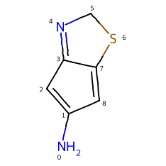 NC1=CC2=NCSC2=C1